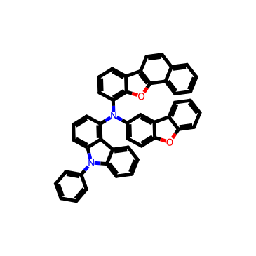 c1ccc(-n2c3ccccc3c3c(N(c4ccc5oc6ccccc6c5c4)c4cccc5c4oc4c6ccccc6ccc54)cccc32)cc1